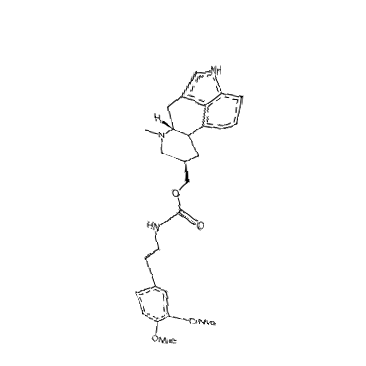 COc1ccc(CCNC(=O)OC[C@@H]2CC3c4cccc5[nH]cc(c45)C[C@H]3N(C)C2)cc1OC